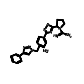 Cl.N=C(N)N1CCCC1c1nc(-c2ccc(Cn3cc(-c4ccccc4)nn3)cc2)no1